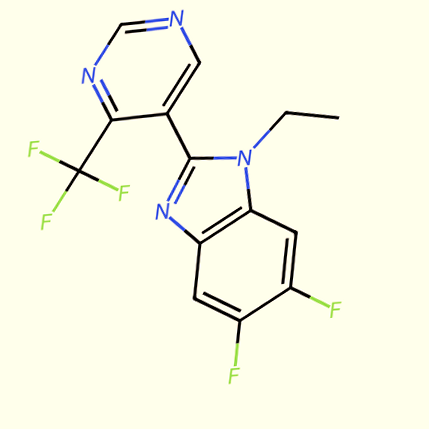 CCn1c(-c2cncnc2C(F)(F)F)nc2cc(F)c(F)cc21